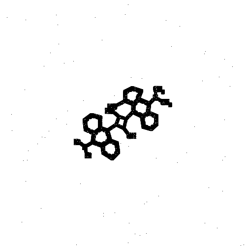 CCN(CC)c1c2ccccc2c(C2C(O)C(c3c4ccccc4c(N(C)C)c4cccc(O)c34)C2O)c2ccccc12